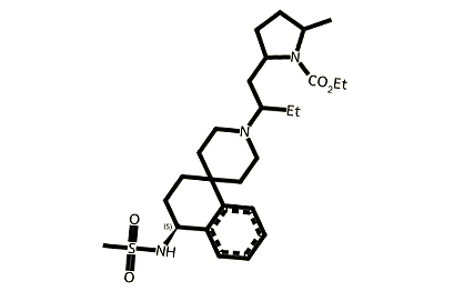 CCOC(=O)N1C(C)CCC1CC(CC)N1CCC2(CC[C@H](NS(C)(=O)=O)c3ccccc32)CC1